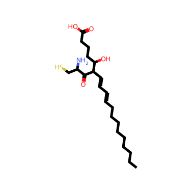 CCCCCCCCC/C=C/C=C/C(C(=O)C(N)CS)C(O)CCCC(=O)O